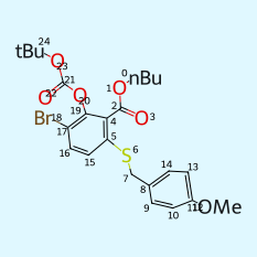 CCCCOC(=O)c1c(SCc2ccc(OC)cc2)ccc(Br)c1OC(=O)OC(C)(C)C